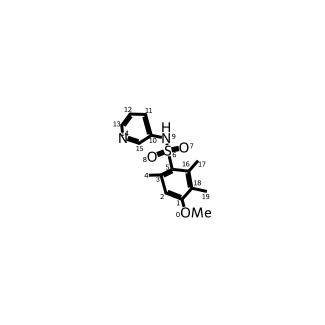 COc1cc(C)c(S(=O)(=O)Nc2cccnc2)c(C)c1C